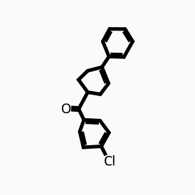 O=C(c1ccc(Cl)cc1)C1CC=C(c2ccccc2)CC1